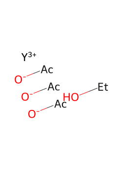 CC(=O)[O-].CC(=O)[O-].CC(=O)[O-].CCO.[Y+3]